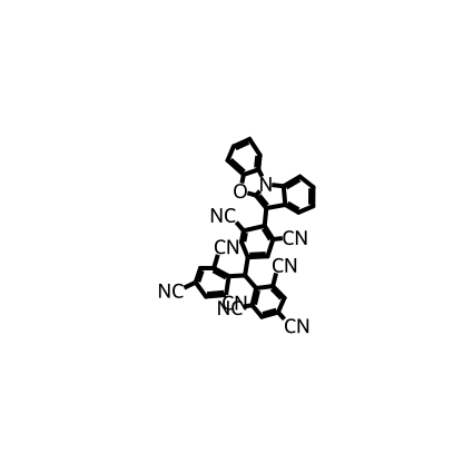 N#Cc1cc(C#N)c(C(c2cc(C#N)c(-c3c4ccccc4n4c3oc3ccccc34)c(C#N)c2)c2c(C#N)cc(C#N)cc2C#N)c(C#N)c1